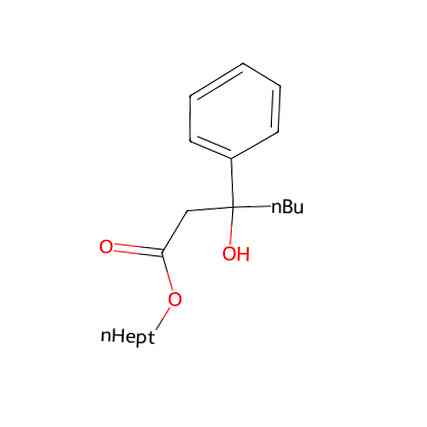 CCCCCCCOC(=O)CC(O)(CCCC)c1ccccc1